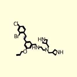 C=CCOc1cc(/C=C/c2ccc(Cl)cc2Br)cc(CNCCN(CC2CNC2)CC2CNC2)c1